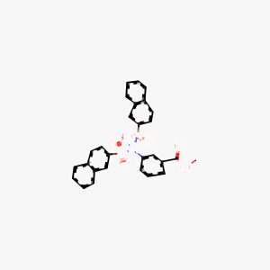 COC(=O)c1cccc(N(S(=O)(=O)c2ccc3ccccc3c2)S(=O)(=O)c2ccc3ccccc3c2)c1